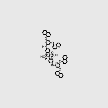 O=S(=O)(O)C(=C(c1ccc(Nc2cc(Oc3cccc4ccccc34)cc(Oc3cccc4ccccc34)n2)cc1)S(=O)(=O)O)c1ccc(Nc2cc(Oc3cccc4ccccc34)cc(Oc3cccc4ccccc34)n2)cc1